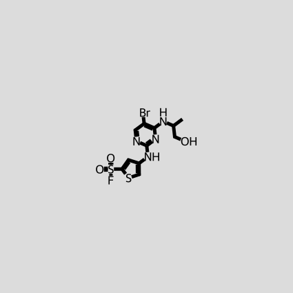 CC(CO)Nc1nc(Nc2csc(S(=O)(=O)F)c2)ncc1Br